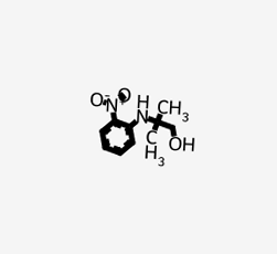 CC(C)(CO)Nc1ccccc1[N+](=O)[O-]